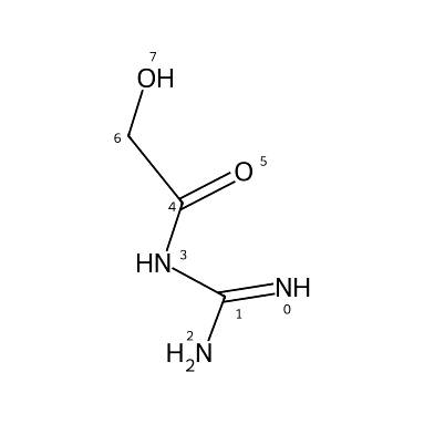 N=C(N)NC(=O)CO